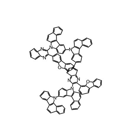 c1ccc2c(c1)ccc1c2c2ccc(-c3ccc4nc(-n5c6ccc(-n7c8ccccc8c8ccc9ccccc9c87)cc6c6c7ccccc7ccc65)c(-c5cccc6c5oc5ccccc56)nc4c3)cc2n1-c1ccc2c(c1)c1c3ccccc3ccc1n2-c1nc2ccccc2nc1-c1ccc2c(c1)oc1ccccc12